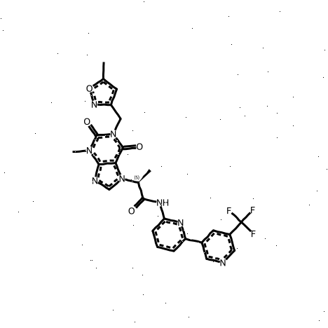 Cc1cc(Cn2c(=O)c3c(ncn3[C@@H](C)C(=O)Nc3cccc(-c4cncc(C(F)(F)F)c4)n3)n(C)c2=O)no1